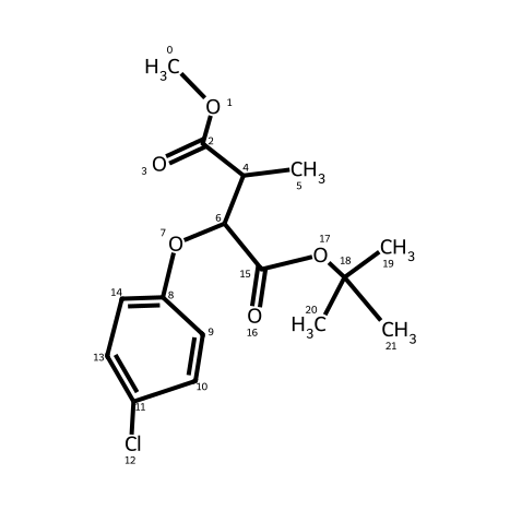 COC(=O)C(C)C(Oc1ccc(Cl)cc1)C(=O)OC(C)(C)C